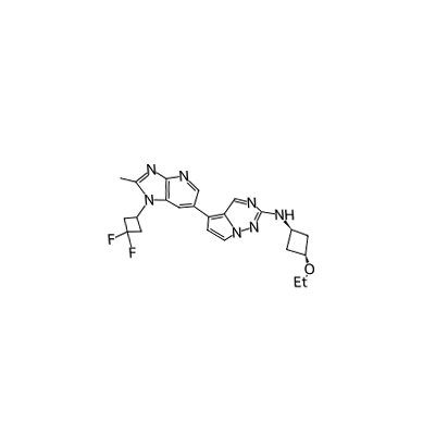 CCO[C@H]1C[C@@H](Nc2ncc3c(-c4cnc5nc(C)n(C6CC(F)(F)C6)c5c4)ccn3n2)C1